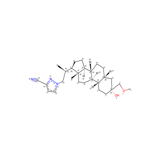 COC[C@@]1(O)CC[C@H]2[C@H](CC[C@@H]3[C@@H]2CC[C@]2(C)[C@@H]([C@H](C)Cn4ccc(C#N)n4)CC[C@@H]32)C1